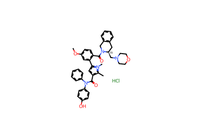 COc1ccc(C(=O)N2Cc3ccccc3C[C@H]2CN2CCOCC2)c(-c2cc(C(=O)N(c3ccccc3)c3ccc(O)cc3)c(C)n2C)c1.Cl